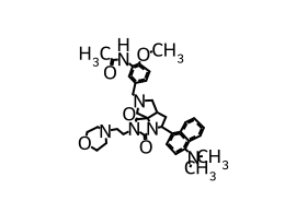 COc1ccc(CN2CC3CC(c4ccc(N(C)C)c5ccccc45)N4C(=O)N(CCN5CCOCC5)C(=O)C34C2)cc1NC(C)=O